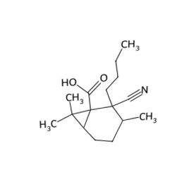 CCCCC1(C#N)C(C)CCC2C(C)(C)C21C(=O)O